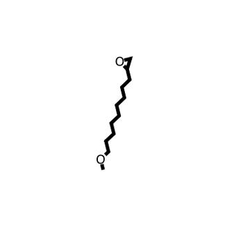 COCCCCCCCCCC1CO1